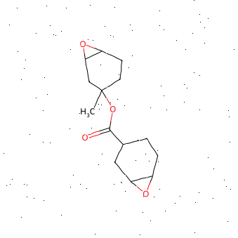 CC1(OC(=O)C2CCC3OC3C2)CCC2OC2C1